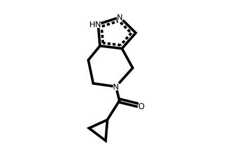 O=C(C1CC1)N1CCc2[nH]ncc2C1